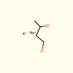 CC([O-])CC[O-].[K+].[Na+]